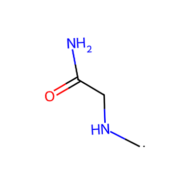 [CH2]NCC(N)=O